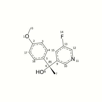 COc1ccc([C@@](C)(O)c2cncc(F)c2)cc1